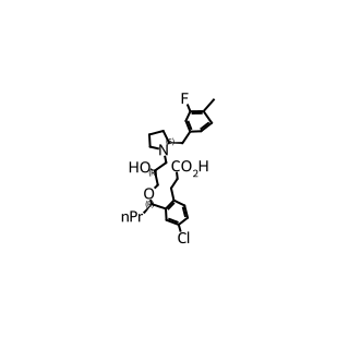 CCC[C@@H](OC[C@H](O)CN1CCC[C@H]1Cc1ccc(C)c(F)c1)c1cc(Cl)ccc1CCC(=O)O